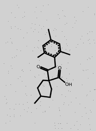 Cc1cc(C)c(CC(=O)C2(C(=O)O)CCC(C)CC2)c(C)c1